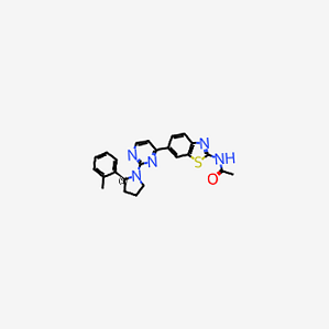 CC(=O)Nc1nc2ccc(-c3ccnc(N4CCC[C@H]4c4ccccc4C)n3)cc2s1